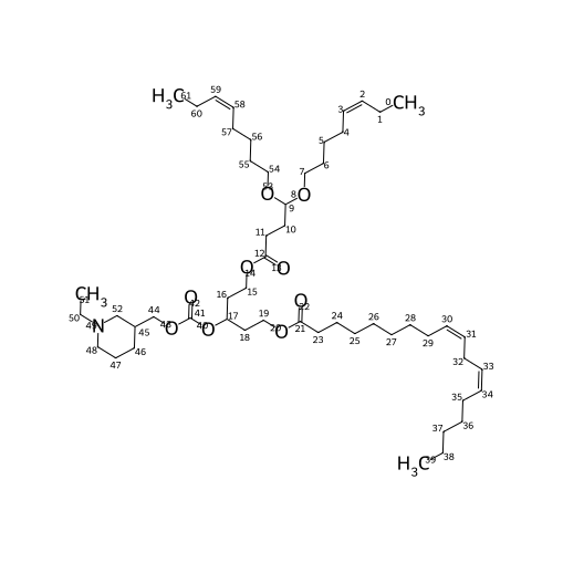 CC/C=C\CCCCOC(CCC(=O)OCCC(CCOC(=O)CCCCCCC/C=C\C/C=C\CCCCC)OC(=O)OCC1CCCN(CC)C1)OCCCC/C=C\CC